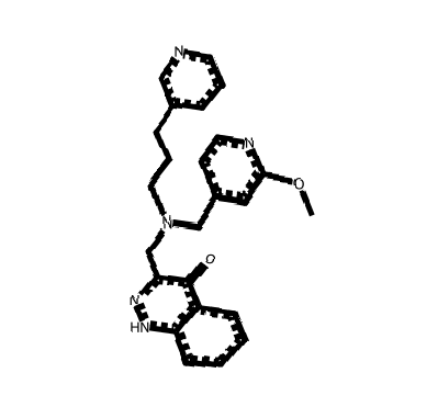 COc1cc(CN(CCCc2cccnc2)Cc2n[nH]c3ccccc3c2=O)ccn1